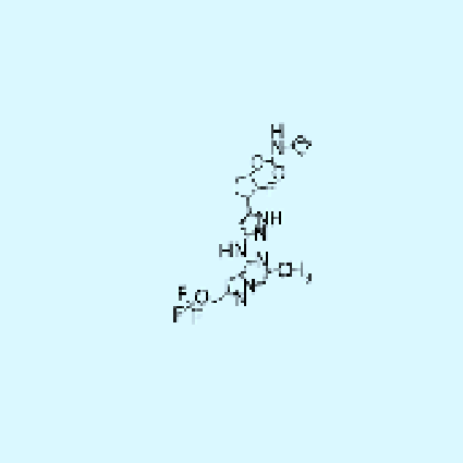 Cc1cn2nc(COC(F)(F)F)cc2c(Nc2cc([C@H]3CC[C@@H](OC(=O)NC45CC(C4)C5)[C@H]3F)[nH]n2)n1